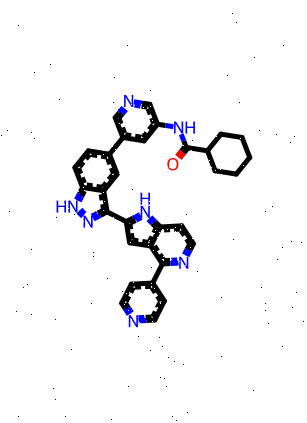 O=C(Nc1cncc(-c2ccc3[nH]nc(-c4cc5c(-c6ccncc6)nccc5[nH]4)c3c2)c1)C1CCCCC1